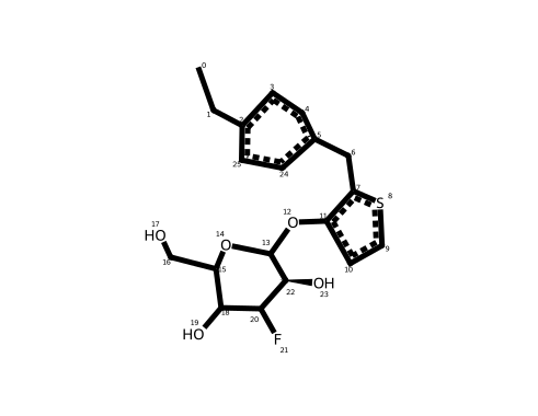 CCc1ccc(Cc2sccc2OC2OC(CO)C(O)C(F)[C@@H]2O)cc1